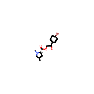 CC1=C[C@@H](C(=O)OCC(=O)c2ccc(Br)cc2)N(C)C1